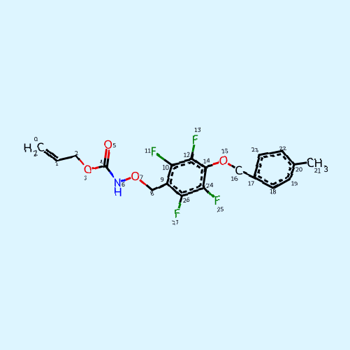 C=CCOC(=O)NOCc1c(F)c(F)c(OCc2ccc(C)cc2)c(F)c1F